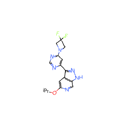 CC(C)Oc1cc2c(-c3cc(N4CC(F)(F)C4)ncn3)n[nH]c2cn1